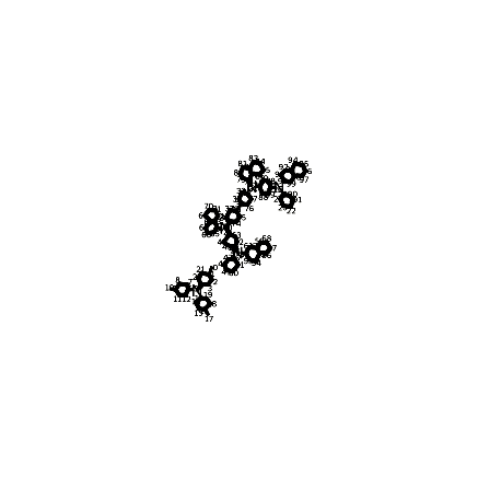 Cc1ccc(N(c2ccc(C)cc2)c2ccc(C)cc2)cc1.c1ccc(N(c2ccc(N(c3ccc(-c4ccc(N(c5ccc(N(c6ccccc6)c6ccc7ccccc7c6)cc5)c5cccc6ccccc56)cc4)cc3)c3cccc4ccccc34)cc2)c2ccc3ccccc3c2)cc1